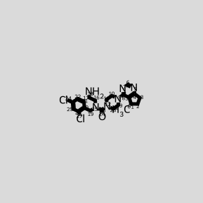 CC1CCc2ncnc(N3CCN(C(=O)N(CCN)Cc4ccc(Cl)cc4Cl)CC3)c21